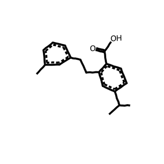 Cc1cccc(CCc2cc(C(C)C)ccc2C(=O)O)c1